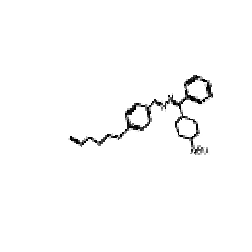 C=CCCCCc1ccc(C=NN=C(c2ccccc2)C2CCC(CCCC)CC2)cc1